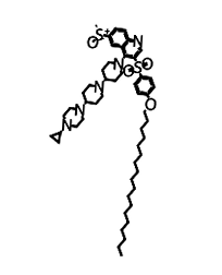 CCCCCCCCCCCCCCCCCCOc1ccc(S(=O)(=O)c2cnc3ccc([S@@+](C)[O-])cc3c2N2CCC(N3CCC(N4CCN(C5CC5)CC4)CC3)CC2)cc1